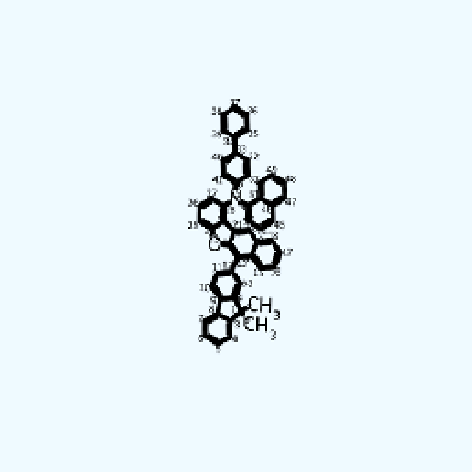 CC1(C)c2ccccc2-c2ccc(-c3c4ccccc4cc4c3oc3cccc(N(c5ccc(-c6ccccc6)cc5)c5cccc6ccccc56)c34)cc21